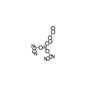 c1ccc2cc(-c3ccc4c(ccc5cc(N(c6ccc(-c7cncc8ccncc78)cc6)c6ccc(-c7cncc8ccncc78)cc6)ccc54)c3)ccc2c1